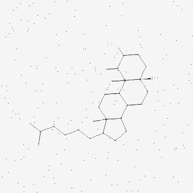 CC(C)CCC[C@@H](C)C1CCC2C3CC[C@H]4CCC(O)C(O)C4(C)C3CCC21C